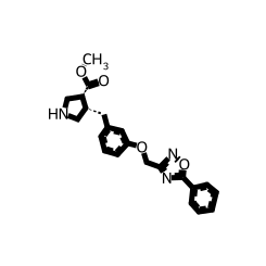 COC(=O)[C@H]1CNC[C@H]1Cc1cccc(OCc2noc(-c3ccccc3)n2)c1